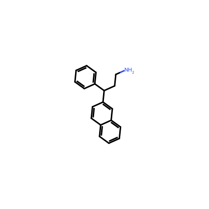 NCCC(c1ccccc1)c1ccc2ccccc2c1